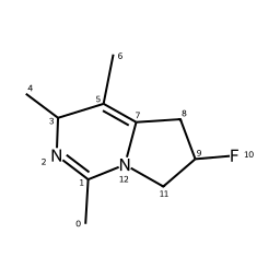 CC1=NC(C)C(C)=C2CC(F)CN12